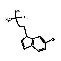 CC(C)(C)CCC1C=Nc2ccc(O)cc21